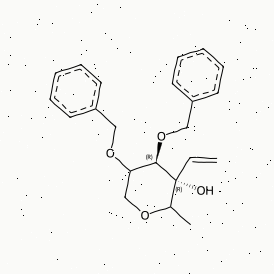 C=C[C@@]1(O)C(C)OCC(OCc2ccccc2)[C@H]1OCc1ccccc1